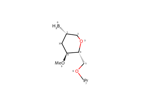 B[C@@H]1CO[C@H](COC(C)C)[C@@H](OC)C1